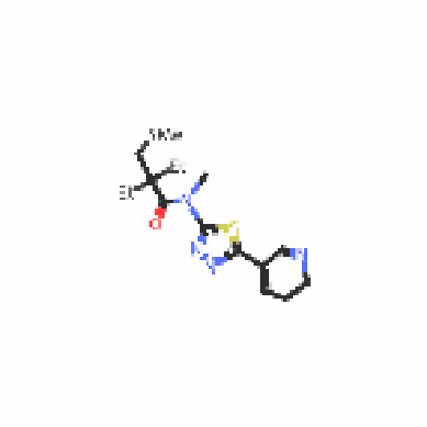 CCC(CC)(CSC)C(=O)N(C)c1nnc(C2=CCCN=C2)s1